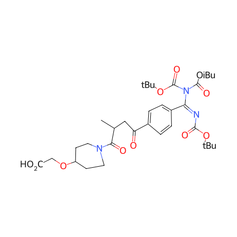 CC(C)COC(=O)N(C(=O)OC(C)(C)C)C(=NC(=O)OC(C)(C)C)c1ccc(C(=O)CC(C)C(=O)N2CCC(OCC(=O)O)CC2)cc1